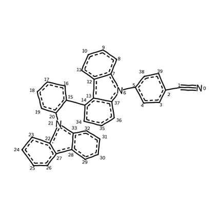 N#Cc1ccc(-n2c3ccccc3c3c(-c4ccccc4-n4c5ccccc5c5ccccc54)cccc32)cc1